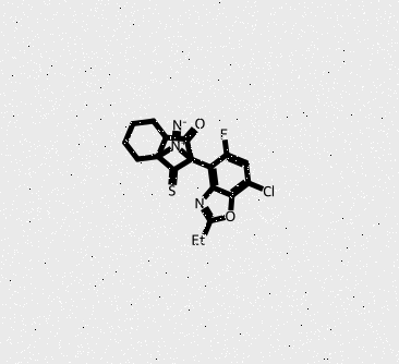 CCc1nc2c(C34C(=O)C5CCCCC5(C3=S)[N+]4=[N-])c(F)cc(Cl)c2o1